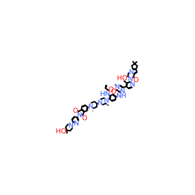 C=CC(=O)Nc1cc(Nc2nc(-c3ccnc(N4CCn5c(cc6c5CC(C)(C)C6)C4=O)c3CO)cn(C)c2=O)ccc1N1CCN(C2CCN(c3ccc4c(c3)C(=O)N(c3ccc(N5CCC(C)(O)CC5)nc3)C4=O)[C@@H](C)C2)C[C@@H]1C